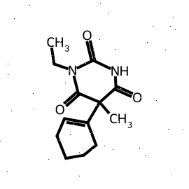 CCN1C(=O)NC(=O)C(C)(C2=CCCCC2)C1=O